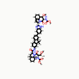 COC(=O)N[C@@H]1C(=O)N2[C@H](c3nc4cc(-c5ccc6c(c5)C(C)(C)c5cc(NC(=O)C7C[C@@H]8CCCC[C@@H]8N7C(=O)[C@@H](NC(=O)OC)[C@@H](C)OC)ccc5-6)ccc4[nH]3)C[C@@H]3CCCC([C@H]1OC)[C@@H]32